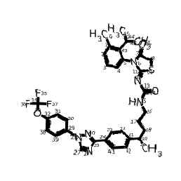 Cc1cccc(N2C(=O)CS/C2=N\C(=O)NCCCC(C)c2ccc(-c3ncn(-c4ccc(OC(F)(F)F)cc4)n3)cc2)c1C(C)C